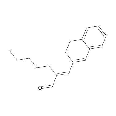 CCCCC/C(C=O)=C\C1=Cc2ccccc2CC1